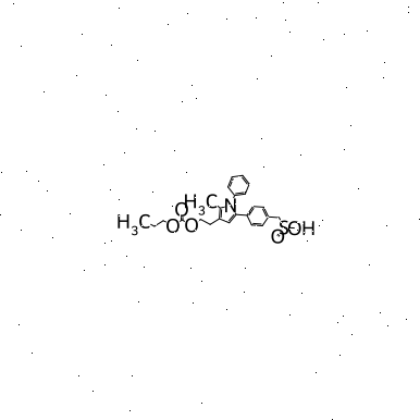 CCCOC(=O)OCCc1cc(-c2ccc(CS(=O)O)cc2)n(-c2ccccc2)c1C